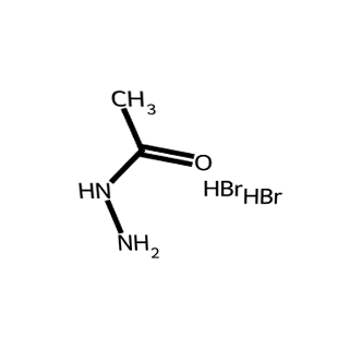 Br.Br.CC(=O)NN